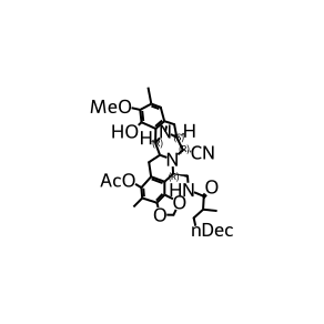 CCCCCCCCCCCC(C)C(=O)NC[C@H]1c2c(c(OC(C)=O)c(C)c3c2OCO3)CC2[C@H]3c4c(cc(C)c(OC)c4O)C[C@@H]([C@H](C#N)N21)N3C